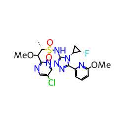 COc1cccc(-c2nnc(NS(=O)(=O)[C@@H](C)[C@H](OC)c3ncc(Cl)cn3)n2[C@@H]2C[C@@H]2F)n1